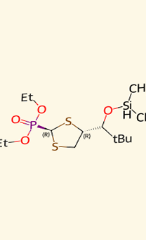 CCOP(=O)(OCC)[C@@H]1SC[C@@H](C(O[SiH](C)C)C(C)(C)C)S1